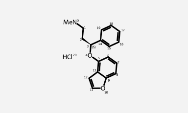 CNCC[C@H](Oc1cccc2occc12)c1ccccc1.Cl